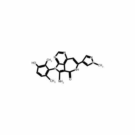 Cc1ccc(O)c(C)c1-n1c(N)c2c3c(ncnc31)C=C(c1cnn(C)c1)NC2=O